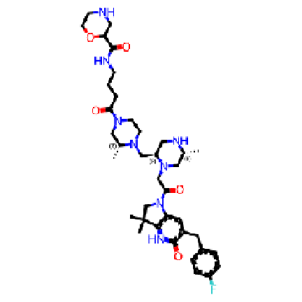 C[C@@H]1CN(CC(=O)N2CC(C)(C)c3[nH]c(=O)c(Cc4ccc(F)cc4)cc32)[C@@H](CN2CCN(C(=O)CCCNC(=O)C3CNCCO3)C[C@H]2C)CN1